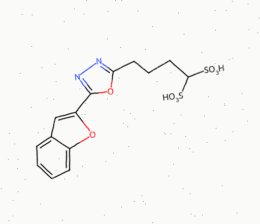 O=S(=O)(O)C(CCCc1nnc(-c2cc3ccccc3o2)o1)S(=O)(=O)O